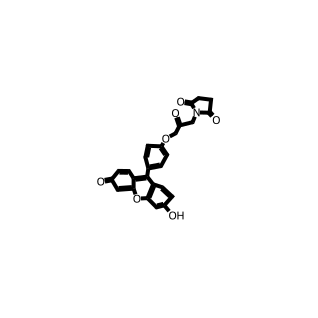 O=C(COc1ccc(-c2c3ccc(=O)cc-3oc3cc(O)ccc23)cc1)CN1C(=O)CCC1=O